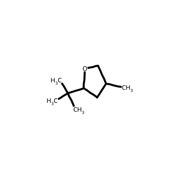 CC1COC(C(C)(C)C)C1